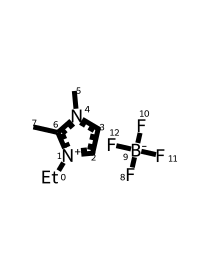 CC[n+]1ccn(C)c1C.F[B-](F)(F)F